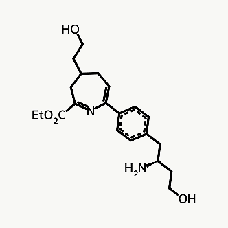 CCOC(=O)C1=NC(c2ccc(C[C@H](N)CCO)cc2)=CCC(CCO)C1